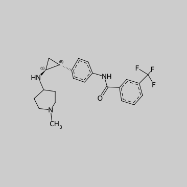 CN1CCC(N[C@H]2C[C@@H]2c2ccc(NC(=O)c3cccc(C(F)(F)F)c3)cc2)CC1